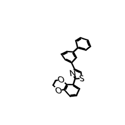 c1ccc(-c2cccc(-c3csc(-c4cccc5c4OCCO5)n3)c2)cc1